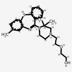 Cc1ccc2c(c1)N=C(N1CCN(CCOCCO)CC1(C)C)c1ccccc1S2